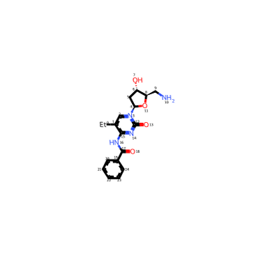 CCc1cn([C@H]2C[C@H](O)[C@@H](CN)O2)c(=O)nc1NC(=O)c1ccccc1